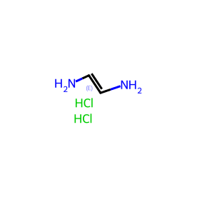 Cl.Cl.N/C=C/N